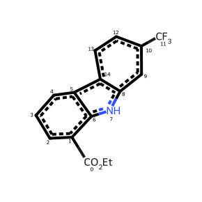 CCOC(=O)c1cccc2c1[nH]c1cc(C(F)(F)F)ccc12